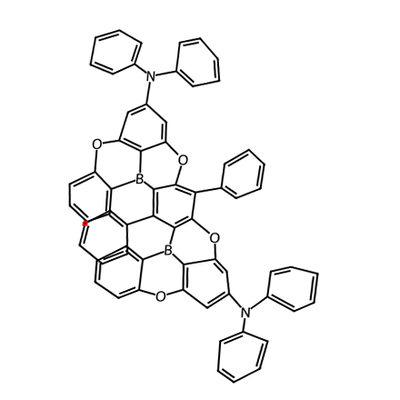 c1ccc(-c2c3c(c(-c4ccccc4)c4c2Oc2cc(N(c5ccccc5)c5ccccc5)cc5c2B4c2ccccc2O5)B2c4ccccc4Oc4cc(N(c5ccccc5)c5ccccc5)cc(c42)O3)cc1